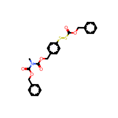 CN(C(=O)OCc1ccccc1)C(=O)OCc1ccc(SSC(=O)OCc2ccccc2)cc1